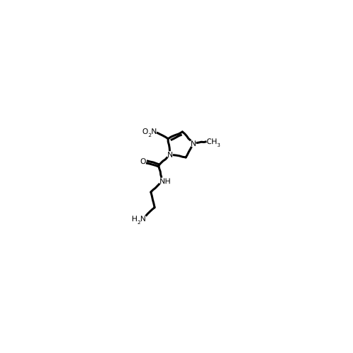 CN1C=C([N+](=O)[O-])N(C(=O)NCCN)C1